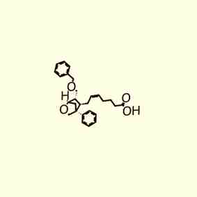 O=C(O)CCC/C=C\C[C@@H]1[C@@H](COCc2ccccc2)[C@H]2C[C@]1(c1ccccc1)CO2